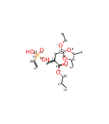 C=C(C[Si](OCC)(OCC)OCC)C(=O)OCCC.C=CP(=O)(O)O